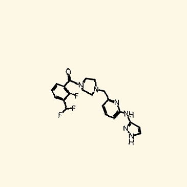 O=C(c1cccc(C(F)F)c1F)N1CCN(Cc2cccc(Nc3cc[nH]n3)n2)CC1